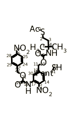 CC(=O)SCCC(C)(C)NC(=O)OCc1ccc([N+](=O)[O-])c(NC(=O)OCc2ccc([N+](=O)[O-])cc2)c1.CCCC(C)S